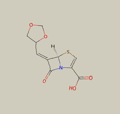 O=C(O)C1=CS[C@@H]2/C(=C\C3COCO3)C(=O)N12